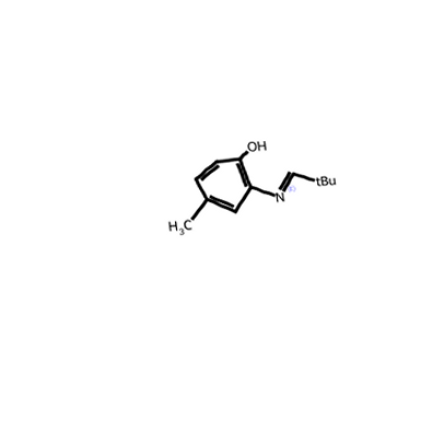 Cc1ccc(O)c(/N=C/C(C)(C)C)c1